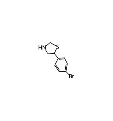 Brc1ccc(C2CNCS2)cc1